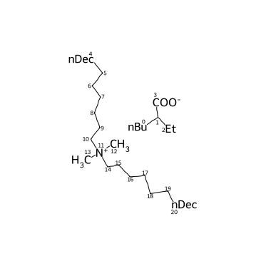 CCCCC(CC)C(=O)[O-].CCCCCCCCCCCCCCCC[N+](C)(C)CCCCCCCCCCCCCCCC